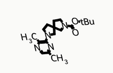 Cc1cnc(C)c(N2CCC3(CCN(C(=O)OC(C)(C)C)C3)C2)n1